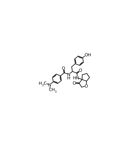 CN(C)c1ccc(C(=O)NC(Cc2ccc(O)cc2)C(=O)NC23CCCC2OCC3=O)cc1